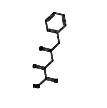 O=C(CC(=O)C(=O)O)Cc1ccccc1